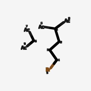 CC(=O)C(CCCBr)C(C)=O.CC(=O)CC(C)=O